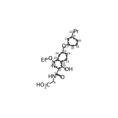 CCOc1nc(C(=O)NCC(=O)O)c(O)c2ccc(Oc3cccc(C(C)C)c3)cc12